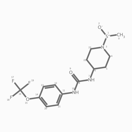 C[S+]([O-])N1CCC(NC(=O)Nc2ccc(OC(F)(F)F)cc2)CC1